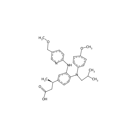 COCc1ccc(Nc2cc([C@H](C)CC(=O)O)ccc2N(CC(C)C)c2ccc(OC)cc2)nc1